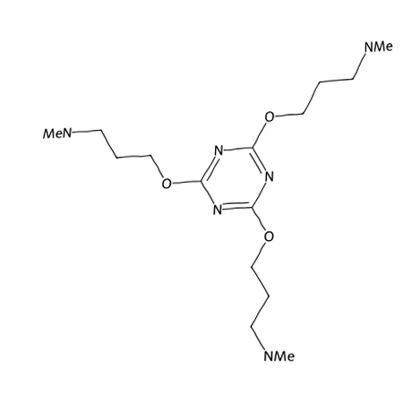 CNCCCOc1nc(OCCCNC)nc(OCCCNC)n1